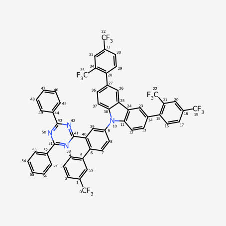 FC(F)(F)c1cccc(-c2ccc(-n3c4ccc(-c5ccc(C(F)(F)F)cc5C(F)(F)F)cc4c4cc(-c5ccc(C(F)(F)F)cc5C(F)(F)F)ccc43)cc2-c2nc(-c3ccccc3)nc(-c3ccccc3)n2)c1